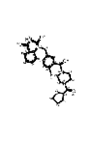 O=C(c1cc(Cn2c(=O)[nH]c(=O)c3ccccc32)ccc1F)N1CCN(C(=O)C2CCCO2)CC1